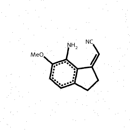 COc1ccc2c(c1N)/C(=C\C#N)CC2